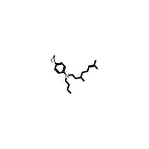 CCCCN(CCC(C)CCC=C(C)C)c1ccc(OC)cc1